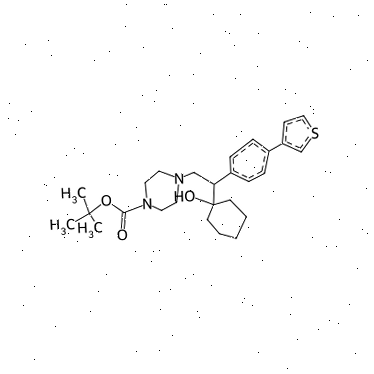 CC(C)(C)OC(=O)N1CCN(CC(c2ccc(-c3ccsc3)cc2)C2(O)CCCCC2)CC1